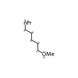 [CH]OCCCCCCCC